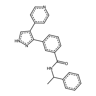 CC(NC(=O)c1cccc(-c2n[nH]cc2-c2ccncc2)c1)c1ccccc1